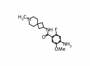 COc1cc(C(=O)NC2CC3(CCN(C)CC3)C2)c(F)cc1N